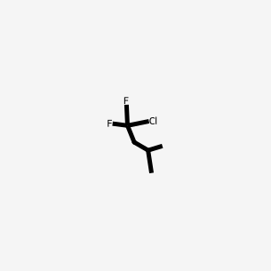 CC(C)CC(F)(F)Cl